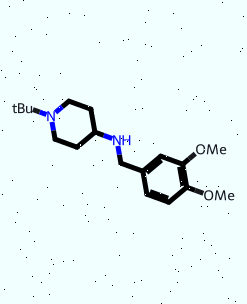 COc1ccc(CNC2CCN(C(C)(C)C)CC2)cc1OC